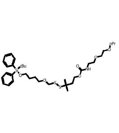 CCCOCCOCCNC(=O)OCCC(C)(C)SSCOCCCCO[Si](c1ccccc1)(c1ccccc1)C(C)(C)C